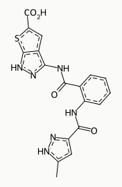 Cc1cc(C(=O)Nc2ccccc2C(=O)Nc2n[nH]c3sc(C(=O)O)cc23)n[nH]1